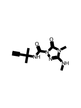 C#CC(C)(C)NC(=O)n1nc(NC)n(C)c1=O